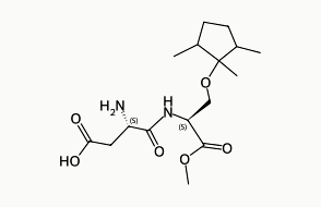 COC(=O)[C@H](COC1(C)C(C)CCC1C)NC(=O)[C@@H](N)CC(=O)O